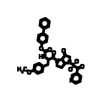 COc1ccc(CC(NC(=O)Oc2ccc(-c3ccccc3)cc2)C(=O)N2CCC3C2C(=O)CN3S(=O)(=O)C(=O)c2cccnc2)cc1